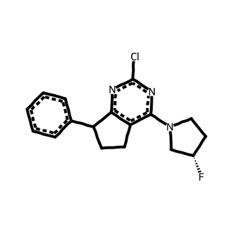 F[C@H]1CCN(c2nc(Cl)nc3c2CCC3c2ccccc2)C1